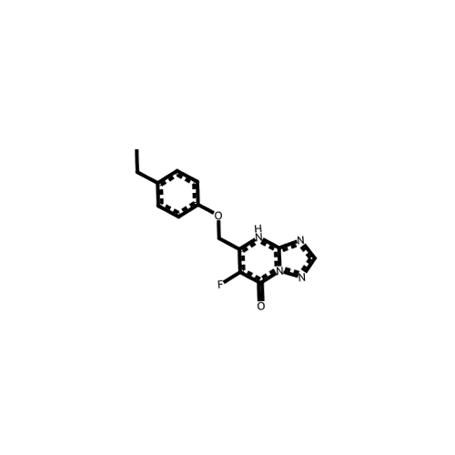 CCc1ccc(OCc2[nH]c3ncnn3c(=O)c2F)cc1